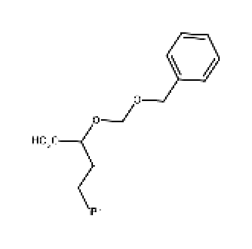 CC(C)CCC(OCOCc1ccccc1)C(=O)O